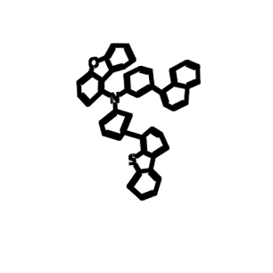 c1cc(-c2cccc3ccccc23)cc(N(c2cccc(-c3cccc4c3sc3ccccc34)c2)c2cccc3oc4ccccc4c23)c1